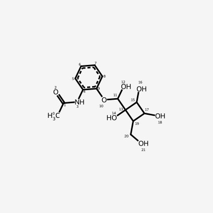 CC(=O)Nc1ccccc1OC(O)C1(O)C(O)C(O)C1CO